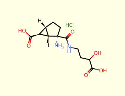 Cl.N[C@@]1(C(=O)NCCC(O)C(=O)O)CC[C@H]2[C@H](C(=O)O)[C@H]21